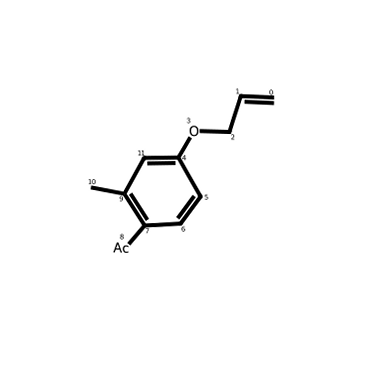 C=CCOc1ccc(C(C)=O)c(C)c1